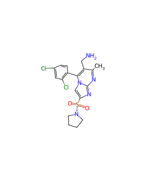 Cc1nc2nc(S(=O)(=O)N3CCCC3)cn2c(-c2ccc(Cl)cc2Cl)c1CN